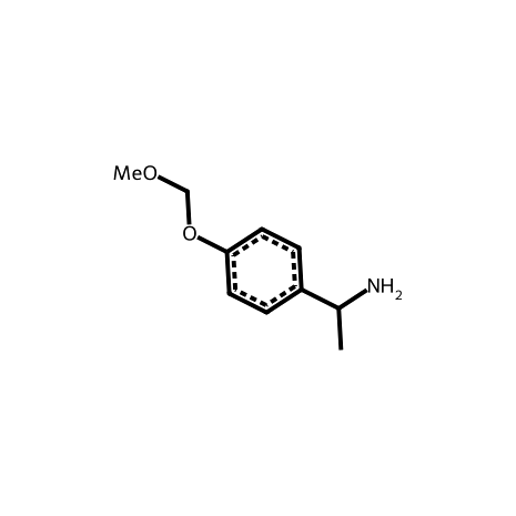 COCOc1ccc(C(C)N)cc1